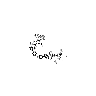 C[C@@H](NC(=O)OC(C)(C)C)C(=O)N1CCC[C@H]1c1ncc(-c2ccc(Oc3ccc(-c4cnc([C@@H]5CCCN5C(=O)[C@@H](C)NC(=O)OC(C)(C)C)[nH]4)cc3)cc2)[nH]1